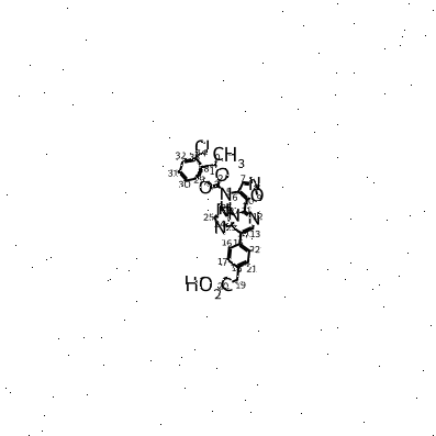 CC(OC(=O)Nc1cnoc1-c1ncc(-c2ccc(CC(=O)O)cc2)c2ncnn12)c1ccccc1Cl